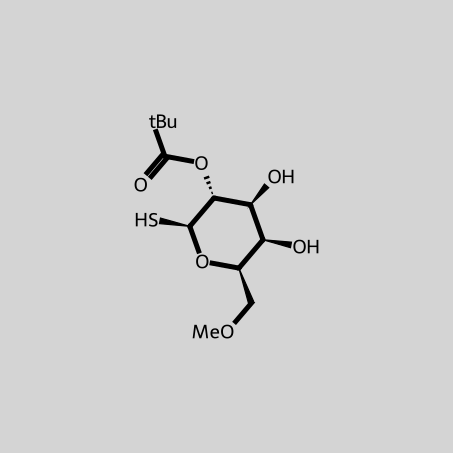 COC[C@H]1O[C@@H](S)[C@H](OC(=O)C(C)(C)C)[C@@H](O)[C@H]1O